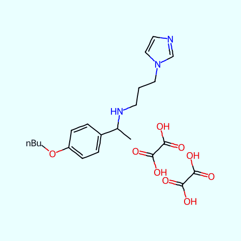 CCCCOc1ccc(C(C)NCCCn2ccnc2)cc1.O=C(O)C(=O)O.O=C(O)C(=O)O